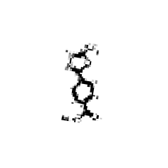 COC(=O)c1ccc(-c2nnc(C(F)(F)F)o2)cc1